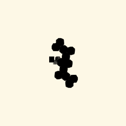 Cc1ccc2c(-c3ccc(N(c4ccccc4)c4ccc(-n5c6ccccc6c6ccccc65)cc4)cc3)c3ccccc3c(-c3ccc(N(c4ccccc4)c4ccc(-n5c6ccccc6c6ccccc65)cc4)cc3)c2c1